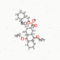 CCCOc1c2ccccc2c(OCCC)c2cc(S(=O)(=O)OCc3ccccc3[N+](=O)[O-])ccc12